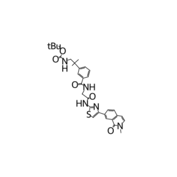 Cn1ccc2ccc(-c3csc(NC(=O)CNC(=O)c4cccc(C(C)(C)CNC(=O)OC(C)(C)C)c4)n3)cc2c1=O